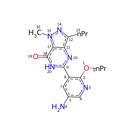 CCCOc1ncc(N)cc1-c1nc2c(CCC)nn(C)c2c(=O)[nH]1